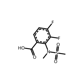 CN(c1c(C(=O)O)ccc(F)c1F)S(C)(=O)=O